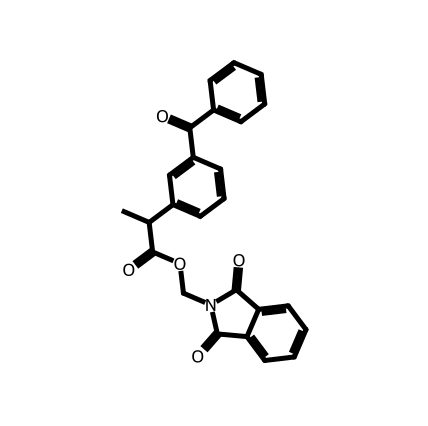 CC(C(=O)OCN1C(=O)c2ccccc2C1=O)c1cccc(C(=O)c2ccccc2)c1